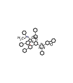 C=C/C(=C\c1c(C)n(-c2c(-c3ccc(-c4ccccc4)cc3)cc(-c3nc(-c4ccccc4)nc(-c4ccc5c(c4)oc4ccccc45)n3)cc2-c2ccc(-c3ccccc3)cc2)c2ccc(-c3ccccc3)cc12)c1ccccc1